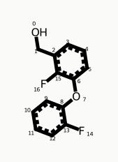 OCc1cccc(Oc2ccccc2F)c1F